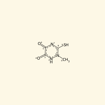 Cn1[nH]c(=O)c(=O)nc1S